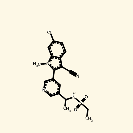 CCS(=O)(=O)NC(C)c1cncc(-c2c(C#N)c3ccc(Cl)cc3n2C)c1